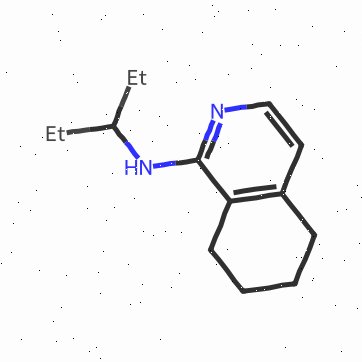 CCC(CC)Nc1nccc2c1CCCC2